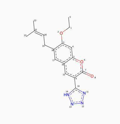 CCOc1cc2oc(=O)c(-c3nnn[nH]3)cc2cc1CC=C(C)C